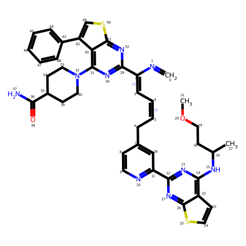 C=N/C(=C\C=C/Cc1ccnc(-c2nc(NC(C)CCOC)c3ccsc3n2)c1)c1nc(N2CCC(C(N)=O)CC2)c2c(-c3ccccc3)csc2n1